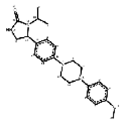 COc1ccc(N2CCN(c3ccc(C4CNC(=O)N4C(C)C)cc3)CC2)cc1